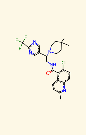 Cc1ccc2c(C(=O)NCC(c3cnc(C(F)(F)F)nc3)N3CCC(C)(C)CC3)c(Cl)ccc2n1